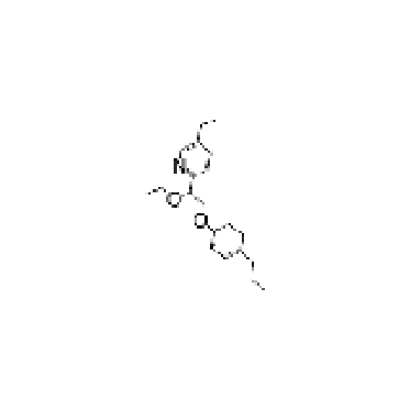 CCCC1=CC=C(OCC(OCC)c2ccc(CC)cn2)CC1